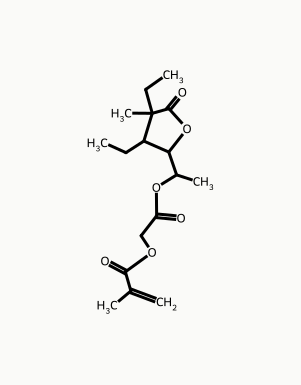 C=C(C)C(=O)OCC(=O)OC(C)C1OC(=O)C(C)(CC)C1CC